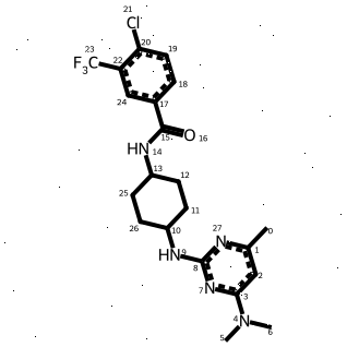 Cc1cc(N(C)C)nc(NC2CCC(NC(=O)c3ccc(Cl)c(C(F)(F)F)c3)CC2)n1